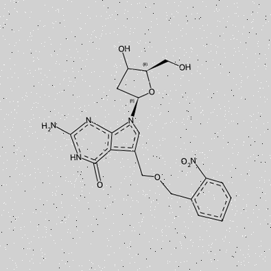 Nc1nc2c(c(COCc3ccccc3[N+](=O)[O-])cn2[C@H]2CC(O)[C@@H](CO)O2)c(=O)[nH]1